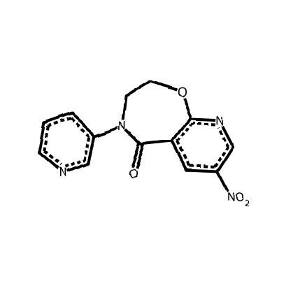 O=C1c2cc([N+](=O)[O-])cnc2OCCN1c1cccnc1